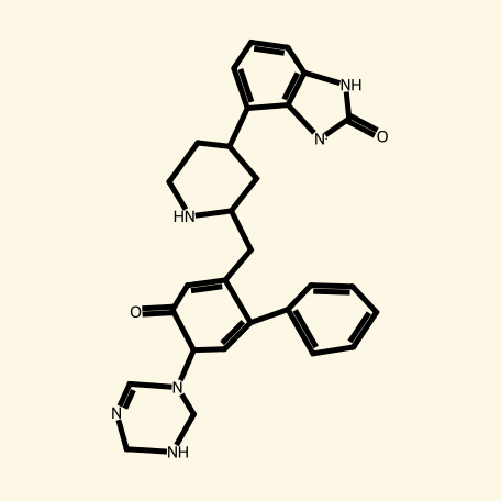 O=C1[N]c2c(cccc2C2CCNC(CC3=CC(=O)C(N4C=NCNC4)C=C3c3ccccc3)C2)N1